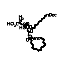 CCCCC/C=C\C/C=C\C/C=C\C/C=C\CCCC(=O)OC[C@H](COP(=O)(O)OC[C@H](N)C(=O)O)OC(=O)CCCCCCCCCCCCCCCCCC